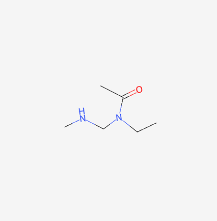 CCN(CNC)C(C)=O